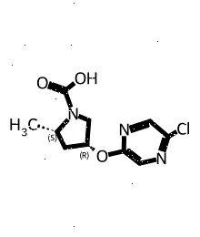 C[C@H]1C[C@@H](Oc2cnc(Cl)cn2)CN1C(=O)O